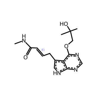 CNC(=O)/C=C/Cc1c[nH]c2ncnc(OCC(C)(C)O)c12